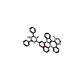 CN1CC=NC2=C1c1c(n(-c3cccc(C4N=C(c5ccccc5)NC(c5ccccc5)N4C)c3)c3ccccc13)N(c1ccccc1)c1ccccc12